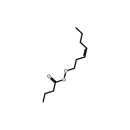 CCC/C=C\CCOOC(=O)CCC